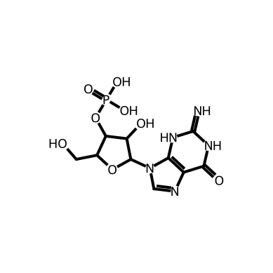 N=c1[nH]c(=O)c2ncn(C3OC(CO)C(OP(=O)(O)O)C3O)c2[nH]1